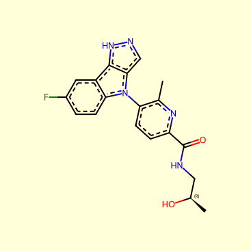 Cc1nc(C(=O)NC[C@@H](C)O)ccc1-n1c2ccc(F)cc2c2[nH]ncc21